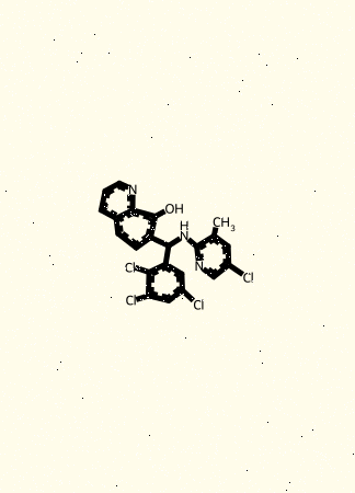 Cc1cc(Cl)cnc1NC(c1cc(Cl)cc(Cl)c1Cl)c1ccc2cccnc2c1O